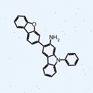 Nc1cc2c(cc1-c1ccc3c(c1)oc1ccccc13)c1ccccc1n2-c1ccccc1